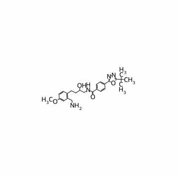 COc1ccc(CCC(O)CNC(=O)c2ccc(-c3nnc(C(C)(C)C)o3)cc2)c(CN)c1